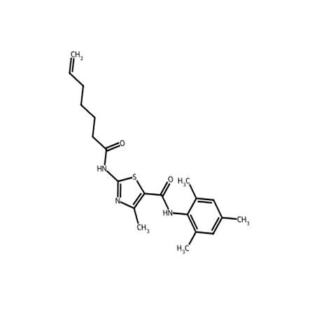 C=CCCCCC(=O)Nc1nc(C)c(C(=O)Nc2c(C)cc(C)cc2C)s1